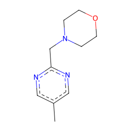 Cc1cnc(CN2CCOCC2)nc1